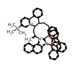 C=C1CC2C(CCc3ccc4c(sc5ccccc54)c3-c3n(-c4c(-c5ccccc5)ccc5ccccc45)c4ccc5ccccc5c4[n+]31)c1ccccc1-c1ccc([Si](C)(C)C)c[n+]12